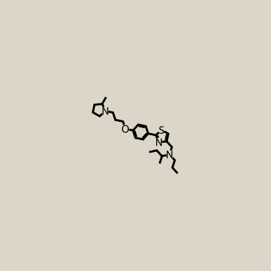 CCCN(Cc1csc(-c2ccc(OCCCN3CCCC3C)cc2)n1)C(C)CC